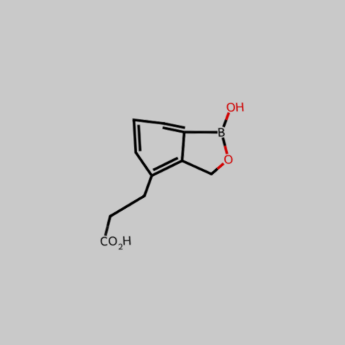 O=C(O)CCc1cccc2c1COB2O